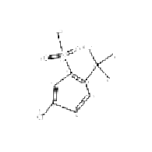 CC(C)(C)c1ccc(Cl)cc1S(C)(=O)=O